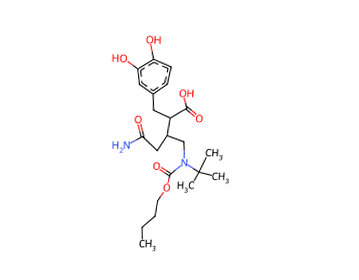 CCCCOC(=O)N(CC(CC(N)=O)C(Cc1ccc(O)c(O)c1)C(=O)O)C(C)(C)C